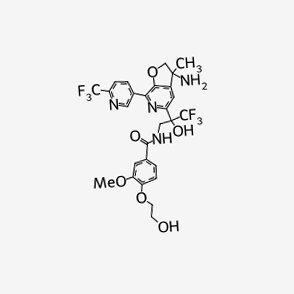 COc1cc(C(=O)NCC(O)(c2cc3c(c(-c4ccc(C(F)(F)F)nc4)n2)OCC3(C)N)C(F)(F)F)ccc1OCCO